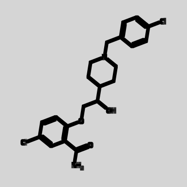 NC(=O)c1cc(Cl)ccc1OCC(O)C1CCN(Cc2ccc(Cl)cc2)CC1